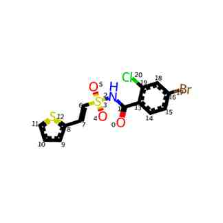 O=C(NS(=O)(=O)C=Cc1cccs1)c1ccc(Br)cc1Cl